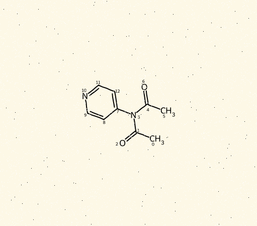 CC(=O)N(C(C)=O)c1ccncc1